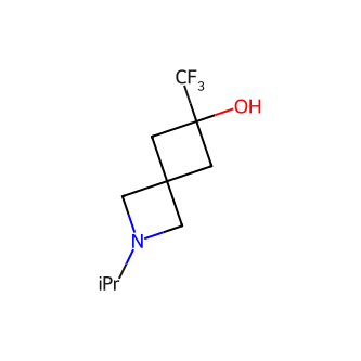 CC(C)N1CC2(C1)CC(O)(C(F)(F)F)C2